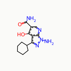 NC(=O)c1cnc2c(c(C3CCCCC3)nn2N)c1O